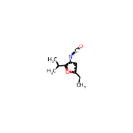 CCc1cc(N=C=O)c(C(C)C)o1